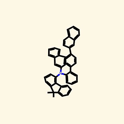 CC1(C)c2ccccc2-c2c(N(c3ccc4ccccc4c3)c3ccccc3-c3ccc(-c4ccc5ccccc5c4)cc3)cccc21